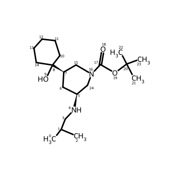 CC(C)CN[C@H]1C[C@@H](C2(O)CCCCC2)CN(C(=O)OC(C)(C)C)C1